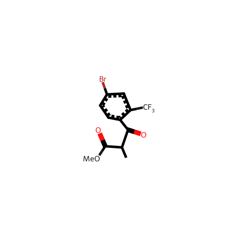 COC(=O)C(C)C(=O)c1ccc(Br)cc1C(F)(F)F